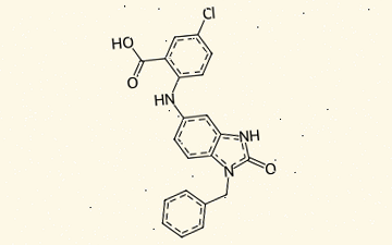 O=C(O)c1cc(Cl)ccc1Nc1ccc2c(c1)[nH]c(=O)n2Cc1ccccc1